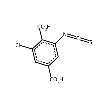 O=C(O)c1cc(Cl)c(C(=O)O)c(N=C=S)c1